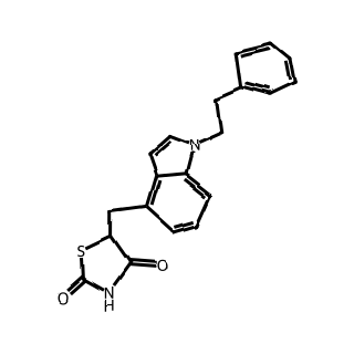 O=C1NC(=O)C(Cc2cccc3c2ccn3CCc2ccccc2)S1